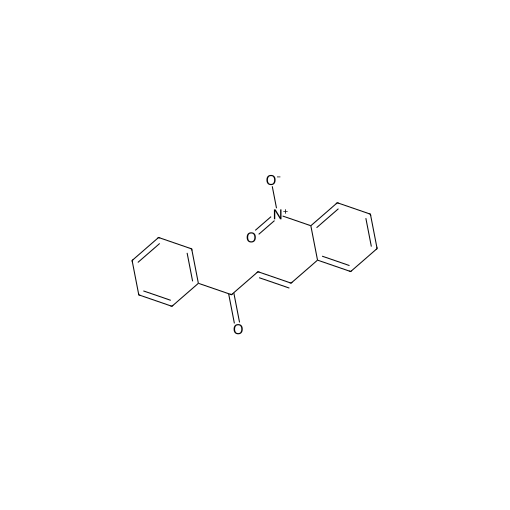 O=C(C=Cc1ccccc1[N+](=O)[O-])c1ccccc1